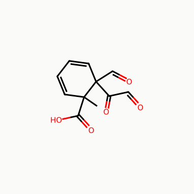 CC1(C(=O)O)C=CC=CC1(C=O)C(=O)C=O